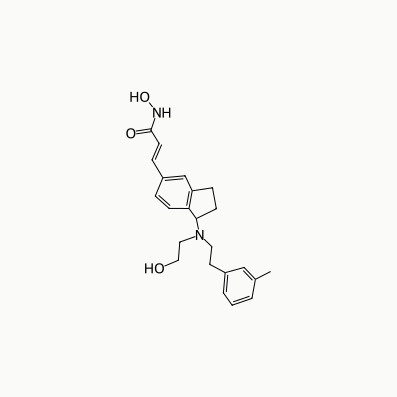 Cc1cccc(CCN(CCO)C2CCc3cc(C=CC(=O)NO)ccc32)c1